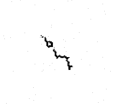 CC(=O)CCc1ccc(OCCC=C(C)CCC=C(C)CCC=C(C)C)cc1